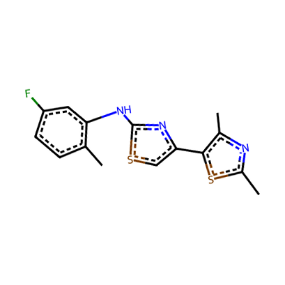 Cc1nc(C)c(-c2csc(Nc3cc(F)ccc3C)n2)s1